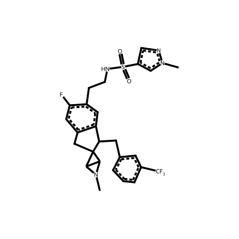 CN1C2C1C21Cc2cc(F)c(CCNS(=O)(=O)c3cnn(C)c3)cc2C1Cc1cccc(C(F)(F)F)c1